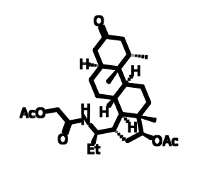 CC[C@@H](NC(=O)COC(C)=O)[C@H]1C[C@H](OC(C)=O)[C@@]2(C)CC[C@H]3[C@@H](CC[C@H]4CC(=O)C[C@H](C)[C@@]43C)[C@H]12